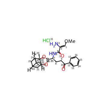 COC=C(N)C(=O)N[C@@H](CCC(=O)c1ccccc1)B1O[C@@H]2C[C@@H]3C[C@@H](C3(C)C)[C@]2(C)O1.Cl